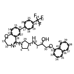 OC(CNC1CCN(C2=NCCOc3ccc(-c4ccc(C(F)(F)F)cc4)cc32)C1)COc1cccc2ccccc12